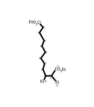 CCOC(=O)CCCCCCCCC(CC)C(CC)C(=O)OCC